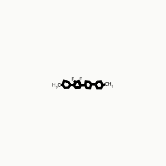 CC1CCC(c2ccc(C3CCC(C4CCC(C)CC4)CC3)c(F)c2F)CC1